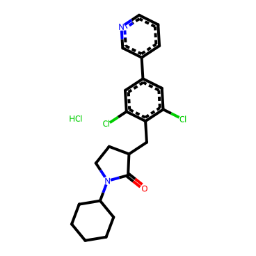 Cl.O=C1C(Cc2c(Cl)cc(-c3cccnc3)cc2Cl)CCN1C1CCCCC1